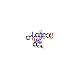 Cc1cccc(C)c1NC(=O)Cn1c(=O)n(Cc2ccc3c(c2)OCO3)c(=O)c2ccc(C(=O)NC3CCCCC3)cc21